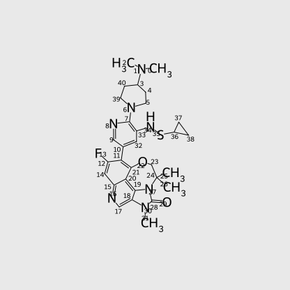 CN(C)C1CCN(c2ncc(-c3c(F)cc4ncc5c6c4c3OCC(C)(C)n6c(=O)n5C)cc2NSC2CC2)CC1